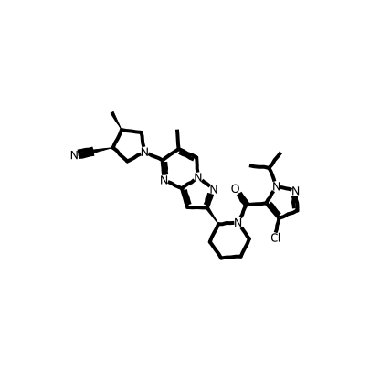 Cc1cn2nc([C@@H]3CCCCN3C(=O)c3c(Cl)cnn3C(C)C)cc2nc1N1C[C@@H](C#N)[C@@H](C)C1